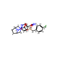 N#Cc1ccc(N2C3CCC2CN(C(=O)C[S+]([O-])Cc2ccc(F)cc2)C3)nc1